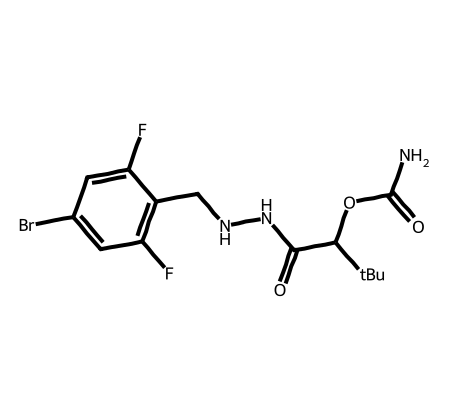 CC(C)(C)C(OC(N)=O)C(=O)NNCc1c(F)cc(Br)cc1F